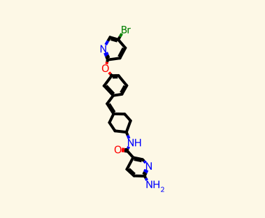 Nc1ccc(C(=O)NC2CCC(=Cc3cccc(Oc4ccc(Br)cn4)c3)CC2)cn1